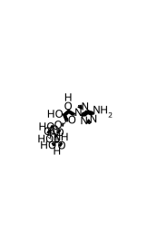 Nc1ncnc2c1ncn2[C@@H]1O[C@H](COP(=O)(O)P(=O)(O)N[PH](=O)O)[C@@H](O)[C@H]1O